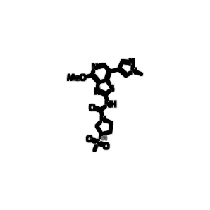 COc1ncc(-c2cnn(C)c2)c2sc(NC(=O)N3CC[C@H](S(C)(=O)=O)C3)nc12